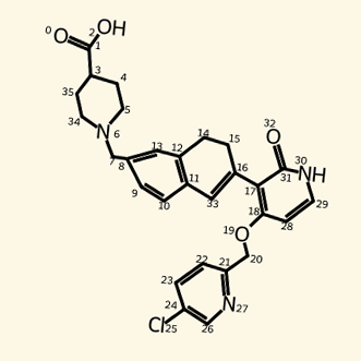 O=C(O)C1CCN(Cc2ccc3c(c2)CCC(c2c(OCc4ccc(Cl)cn4)cc[nH]c2=O)=C3)CC1